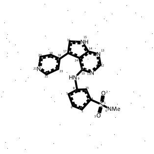 CNS(=O)(=O)c1cccc(Nc2ncnc3[nH]cc(-c4ccncc4)c23)c1